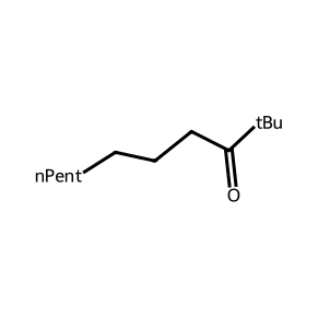 CCCCCCCCC(=O)C(C)(C)C